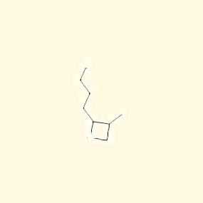 CC1COC1CCCI